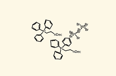 CCCCCCCCCCCC[P+](c1ccccc1)(c1ccccc1)c1ccccc1.CCCCCCCCCCCC[P+](c1ccccc1)(c1ccccc1)c1ccccc1.[Br][Mn-]([Br])([Br])[Br].[Br][Mn-]([Br])([Br])[Br]